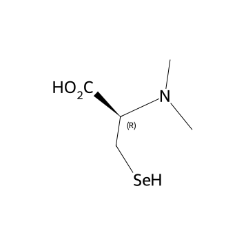 CN(C)[C@@H](C[SeH])C(=O)O